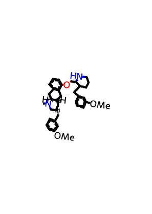 COc1cccc(CC2CCCNC2COc2cccc3c2C[C@@H]2C[C@H](Cc4cccc(OC)c4)CN(C)[C@H]2C3)c1